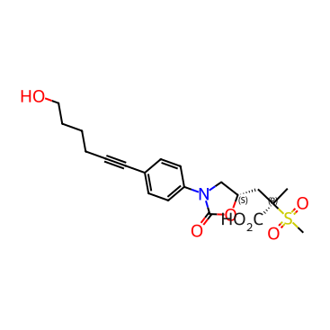 C[C@@](C[C@H]1CN(c2ccc(C#CCCCCO)cc2)C(=O)O1)(C(=O)O)S(C)(=O)=O